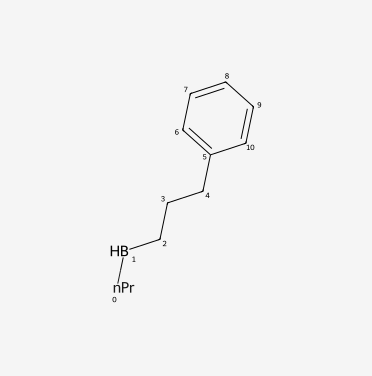 CCCBCCCc1ccccc1